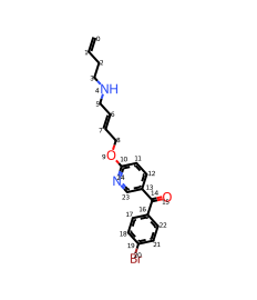 C=CCCNCC=CCOc1ccc(C(=O)c2ccc(Br)cc2)cn1